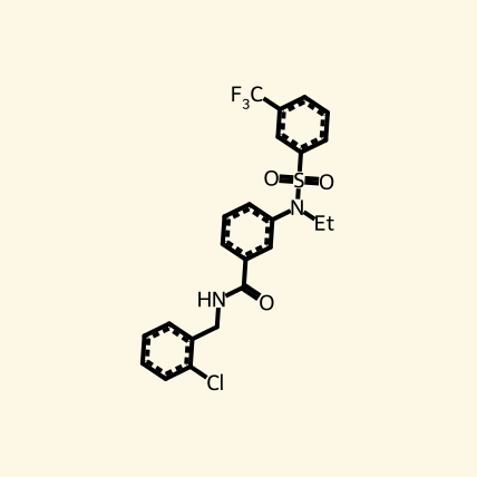 CCN(c1cccc(C(=O)NCc2ccccc2Cl)c1)S(=O)(=O)c1cccc(C(F)(F)F)c1